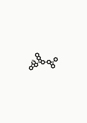 c1ccc(-n2c3ccccc3c3cc(-c4ccc5c(c4)c4cc6ccccc6cc4n5-c4ccc5c6c(cncc46)-c4ccccc4-5)ccc32)cc1